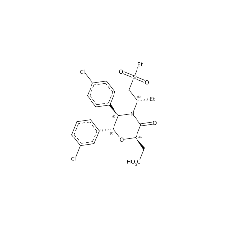 CC[C@@H](CS(=O)(=O)CC)N1C(=O)[C@@H](CC(=O)O)O[C@H](c2cccc(Cl)c2)[C@H]1c1ccc(Cl)cc1